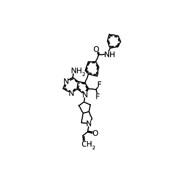 C=CC(=O)N1CC2CC(n3c(C(F)F)c(-c4ccc(C(=O)Nc5ccccc5)cc4)c4c(N)ncnc43)CC2C1